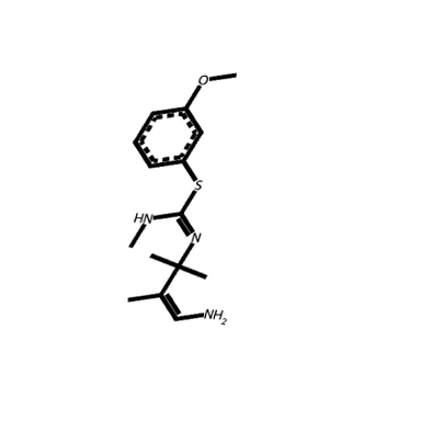 CN/C(=N\C(C)(C)/C(C)=C\N)Sc1cccc(OC)c1